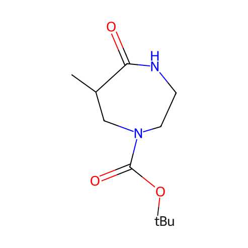 CC1CN(C(=O)OC(C)(C)C)CCNC1=O